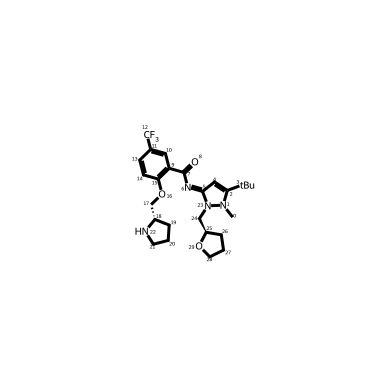 Cn1c(C(C)(C)C)c/c(=N\C(=O)c2cc(C(F)(F)F)ccc2OC[C@@H]2CCCN2)n1C[C@H]1CCCO1